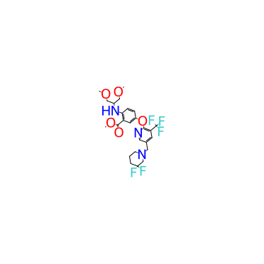 COCC(COC)Nc1ccc(Oc2ncc(CN3CCCC(F)(F)C3)cc2C(F)(F)F)cc1C(=O)OC